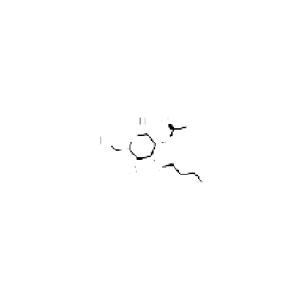 CCCCO[C@@H]1[C@H](O)[C@@H](CO)O[C@H](O)[C@H]1OC(C)=O